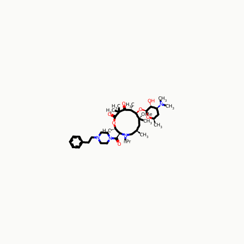 CCCN1C[C@H](C)C[C@@](C)(OC)[C@H](O[C@@H]2O[C@H](C)C[C@H](N(C)C)[C@H]2O)[C@@H](C)C(=O)C(C)(C)C(=O)O[C@@H](C)[C@@H]1C(=O)N1CCN(CCc2ccccc2)CC1